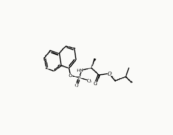 CC(C)COC(=O)[C@H](C)NP(=O)(Cl)Oc1cccc2ccccc12